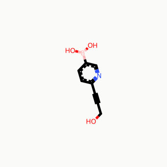 OCC#Cc1ccc(B(O)O)cn1